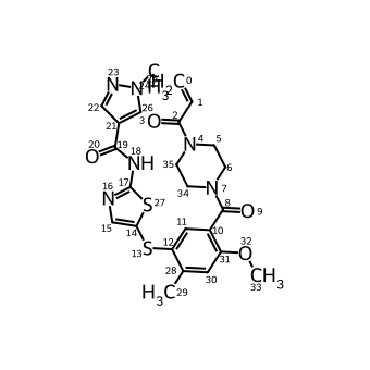 C=CC(=O)N1CCN(C(=O)c2cc(Sc3cnc(NC(=O)c4cnn(C)c4)s3)c(C)cc2OC)CC1